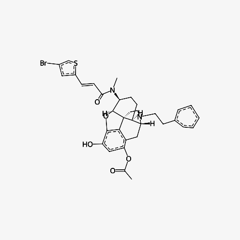 CC(=O)Oc1cc(O)c2c3c1C[C@@H]1[C@@H]4CC[C@H](N(C)C(=O)/C=C/c5cc(Br)cs5)[C@H](O2)[C@]34CCN1CCc1ccccc1